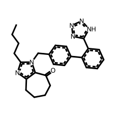 CCCCc1nc2c(n1Cc1ccc(-c3ccccc3-c3nnn[nH]3)cc1)C(=O)CCCC2